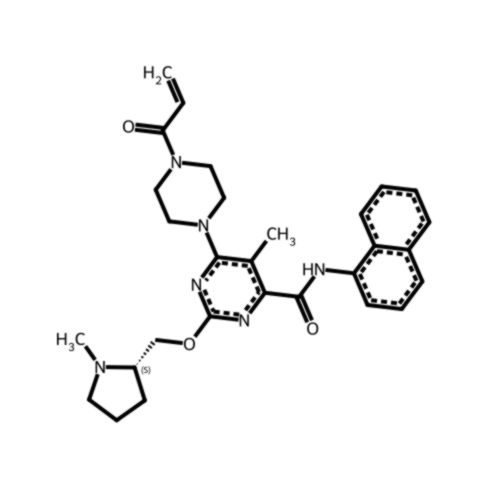 C=CC(=O)N1CCN(c2nc(OC[C@@H]3CCCN3C)nc(C(=O)Nc3cccc4ccccc34)c2C)CC1